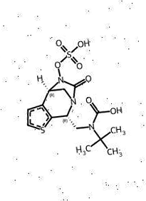 CC(C)(C)N(C[C@@H]1c2sccc2[C@@H]2CN1C(=O)N2OS(=O)(=O)O)C(=O)O